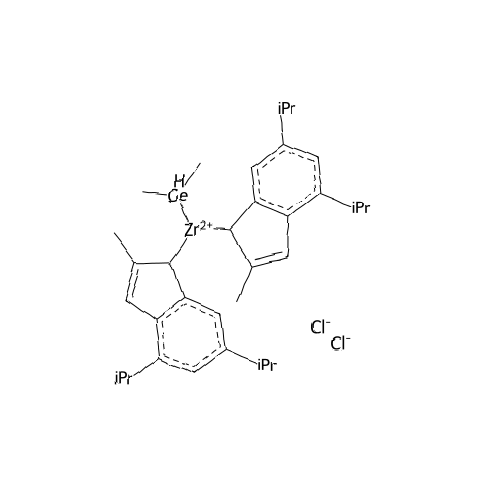 CC1=Cc2c(C(C)C)cc(C(C)C)cc2[CH]1[Zr+2]([CH]1C(C)=Cc2c(C(C)C)cc(C(C)C)cc21)[GeH]([CH3])[CH3].[Cl-].[Cl-]